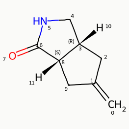 C=C1C[C@H]2CNC(=O)[C@H]2C1